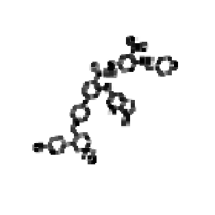 O=C(NSc1ccc(NCC2CCOCC2)c([N+](=O)[O-])c1)c1ccc(C2=CCN(CC3=C(c4ccc(Cl)cc4)CC4(CC3)COC4)CC2)cc1Oc1cnc2[nH]ccc2c1